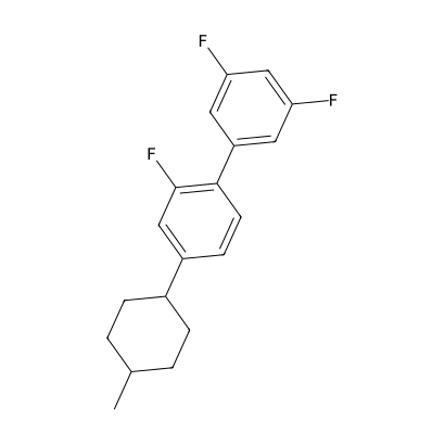 CC1CCC(c2ccc(-c3cc(F)cc(F)c3)c(F)c2)CC1